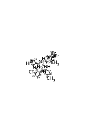 Cc1cnc(NC(=O)[C@@H](COC(C)(C)O[Si](C(C)C)(C(C)C)C(C)C)Oc2nc(-c3c(Cl)cccc3Br)nc3[nH]ncc23)cn1